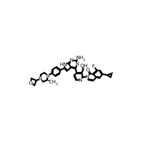 C[C@H]1CN(C2COC2)CCN1c1ccc(-c2cc3c(-c4ccnc(-n5ccc6cc(C7CC7)cc(F)c6c5=O)c4CO)nc(N)nc3[nH]2)cc1